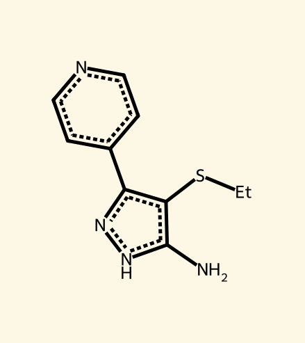 CCSc1c(-c2ccncc2)n[nH]c1N